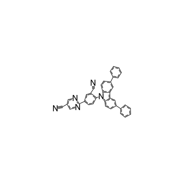 N#Cc1cnc(-c2ccc(-n3c4ccc(-c5ccccc5)cc4c4cc(-c5ccccc5)ccc43)c(C#N)c2)nc1